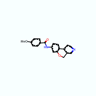 COc1ccc(C(=O)Nc2ccc3c(c2)OCc2cnccc2-3)cc1